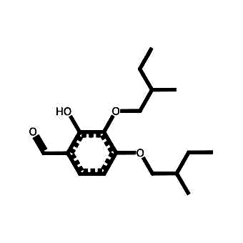 CCC(C)COc1ccc(C=O)c(O)c1OCC(C)CC